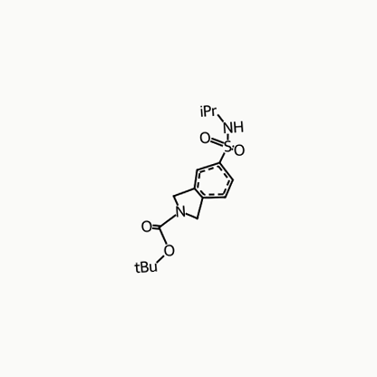 CC(C)NS(=O)(=O)c1ccc2c(c1)CN(C(=O)OC(C)(C)C)C2